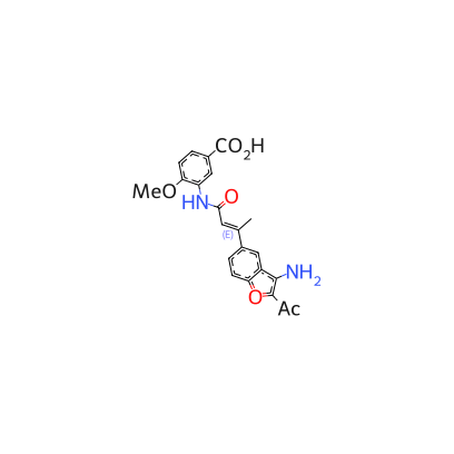 COc1ccc(C(=O)O)cc1NC(=O)/C=C(\C)c1ccc2oc(C(C)=O)c(N)c2c1